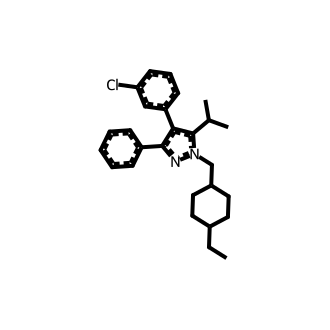 CCC1CCC(Cn2nc(-c3ccccc3)c(-c3cccc(Cl)c3)c2C(C)C)CC1